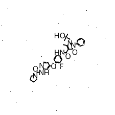 Cc1c(C(=O)Nc2ccc(Oc3ccnc(NC(=O)N4CCCC4)c3)c(F)c2)c(=O)n(-c2ccccc2)n1CC(C)(C)O